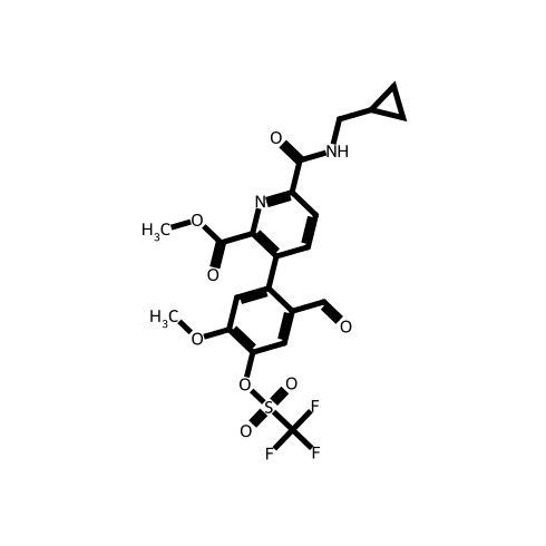 COC(=O)c1nc(C(=O)NCC2CC2)ccc1-c1cc(OC)c(OS(=O)(=O)C(F)(F)F)cc1C=O